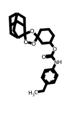 CCc1ccc(NC(=O)OC2CCCC3(C2)OOC2(O3)C3CC4CC(C3)CC2C4)cc1